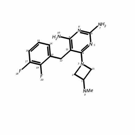 CNC1CN(c2nc(N)nc(N)c2Cc2cccc(F)c2F)C1